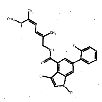 C/C(=C/C=C(\C)CNC(=O)c1cc(-c2ccccc2F)cc2c1c(Cl)cn2C(C)C)NC=O